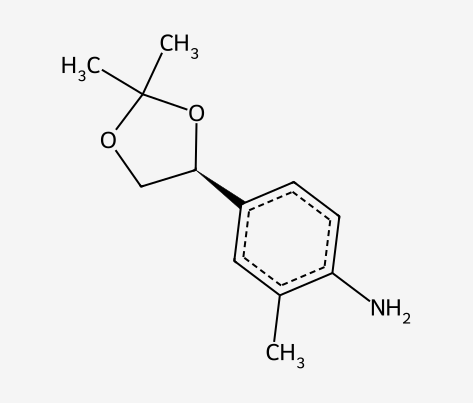 Cc1cc([C@H]2COC(C)(C)O2)ccc1N